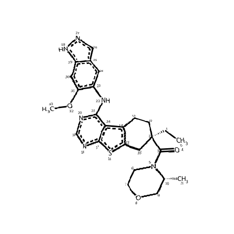 CC[C@@]1(C(=O)N2CCOC[C@H]2C)CCc2c(sc3ncnc(Nc4cc5cn[nH]c5cc4OC)c23)C1